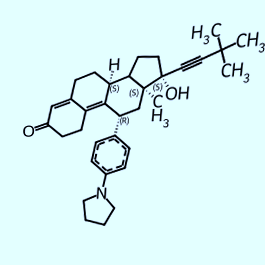 CC(C)(C)C#C[C@]1(O)CCC2[C@@H]3CCC4=CC(=O)CCC4=C3[C@@H](c3ccc(N4CCCC4)cc3)C[C@@]21C